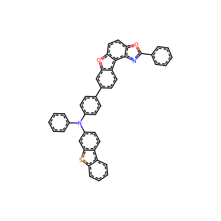 c1ccc(-c2nc3c(ccc4oc5cc(-c6ccc(N(c7ccccc7)c7ccc8c(c7)sc7ccccc78)cc6)ccc5c43)o2)cc1